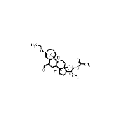 CCOC1=CC2=C(C=O)CC3[C@H](CCC4(C)[C@@H]([C@H](C)COC(C)=O)CC[C@@H]34)C2(C)CCC1